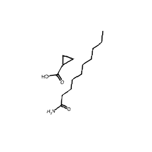 CCCCCCCCCC(N)=O.O=C(O)C1CC1